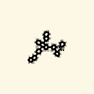 c1ccc2cc(-c3ccc(-c4c5ccccc5c(-c5ccc6ccccc6c5)c5cc(-c6ccc7c(c6)c6ccccc6c6nc8ccccc8n76)ccc45)cc3)ccc2c1